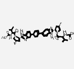 CC(C)[C@H](NC(=O)O)C(=O)N1C[C@@H](F)C[C@H]1c1nc2cc(-c3ccc(-c4ccc5[nH]c([C@@H]6C[C@H](F)CN6C(=O)[C@@H](NC(=O)O)C(C)C)nc5c4)cc3)ccc2[nH]1